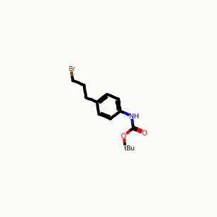 CC(C)(C)OC(=O)Nc1ccc(CCCBr)cc1